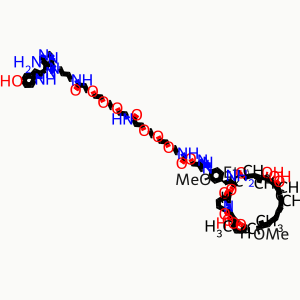 CCO[C@@H]1C[C@@H]([C@H](N)C[C@@H]2CC[C@H](n3cc(COC(=O)NCCOCCOCCOCCC(=O)NCCOCCOCCOCCC(=O)NCCCCn4nc(-c5cc6cc(O)ccc6[nH]5)c5c(N)ncnc54)nn3)[C@H](OC)C2)OC(=O)[C@@H]2CCCCN2C(=O)C(=O)[C@]2(O)O[C@@H](CC[C@H]2C)C[C@H](OC)/C(C)=C/C=C/C=C/[C@@H](C)C[C@@H](C)C(=O)[C@H](O)[C@H](O)/C(C)=C/[C@H]1C